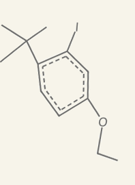 CCOc1ccc(C(C)(C)C)c(I)c1